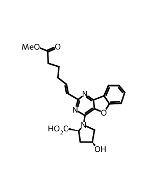 COC(=O)CCCC=Cc1nc(N2C[C@@H](O)C[C@H]2C(=O)O)c2oc3ccccc3c2n1